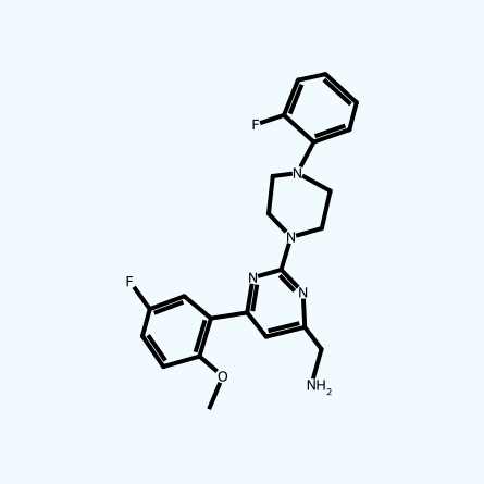 COc1ccc(F)cc1-c1cc(CN)nc(N2CCN(c3ccccc3F)CC2)n1